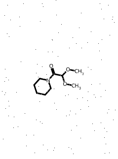 COC(OC)C(=O)N1CCCCC1